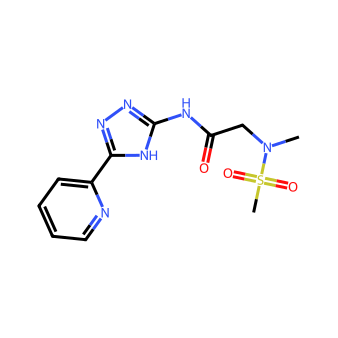 CN(CC(=O)Nc1nnc(-c2ccccn2)[nH]1)S(C)(=O)=O